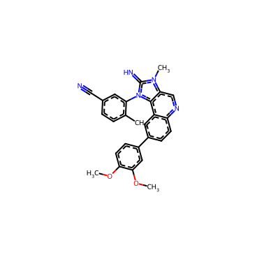 COc1ccc(-c2ccc3ncc4c(c3c2)n(-c2cc(C#N)ccc2C)c(=N)n4C)cc1OC